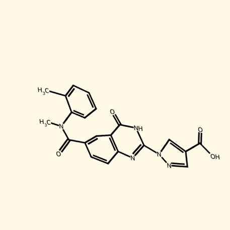 Cc1ccccc1N(C)C(=O)c1ccc2nc(-n3cc(C(=O)O)cn3)[nH]c(=O)c2c1